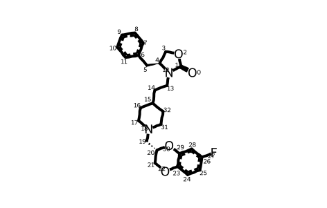 O=C1OC[C@H](Cc2ccccc2)N1CCC1CCN(C[C@H]2COc3ccc(F)cc3O2)CC1